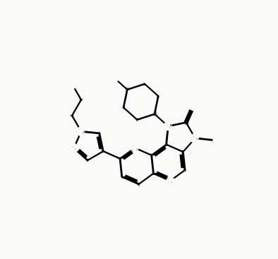 Cn1c(=O)n(C2CCC(O)CC2)c2c3nc(-c4cnn(CCO)c4)ccc3ncc21